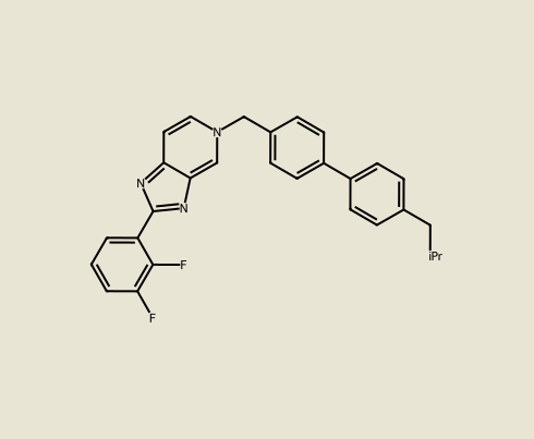 CC(C)Cc1ccc(-c2ccc(Cn3ccc4nc(-c5cccc(F)c5F)nc-4c3)cc2)cc1